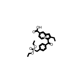 CCOP(=O)(Cc1ccc(C(=O)c2c(CC)cc3cc(C(=O)O)ccn23)cc1)OCC